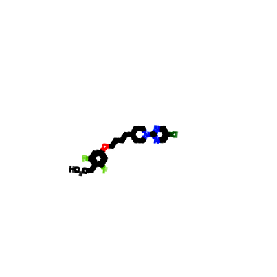 O=C(O)Cc1c(F)cc(OCCCCC2CCN(c3ncc(Cl)cn3)CC2)cc1F